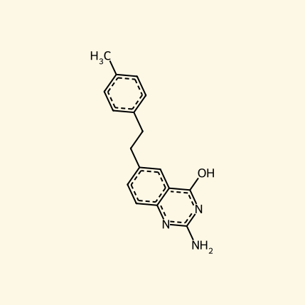 Cc1ccc(CCc2ccc3nc(N)nc(O)c3c2)cc1